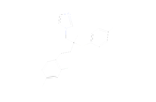 CC(CCc1ccc(Cl)cc1Cl)(Cn1ccnc1)Sc1ccc(Cl)cc1